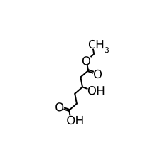 CCOC(=O)CC(O)CCC(=O)O